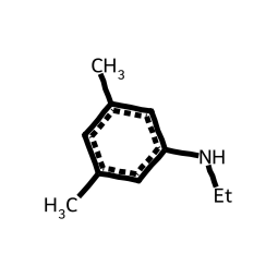 [CH2]CNc1cc(C)cc(C)c1